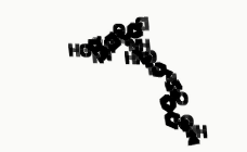 C[C@@H]1C[C@@H](O)c2ncnc(N3CCN(C(=O)[C@H](CNCCNC(=O)CN4CCC(CN5CCN(C(=O)c6cccc(C7CCCN(C(=O)CNC8CC8)C7)c6)CC5)CC4)c4ccc(Cl)cc4)CC3)c21